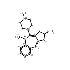 CC1CC2=C(N3CCN(C)CC3)N(C)c3ccccc3N=C2S1